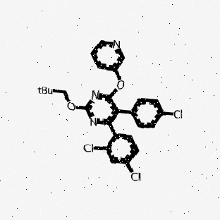 CC(C)(C)COc1nc(Oc2cccnc2)c(-c2ccc(Cl)cc2)c(-c2ccc(Cl)cc2Cl)n1